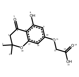 CC1(C)CC(=O)c2c(O)cc(OCC(=O)O)cc2O1